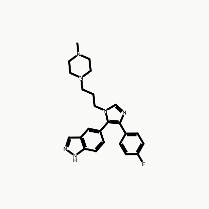 CN1CCN(CCCn2cnc(-c3ccc(F)cc3)c2-c2ccc3[nH]ncc3c2)CC1